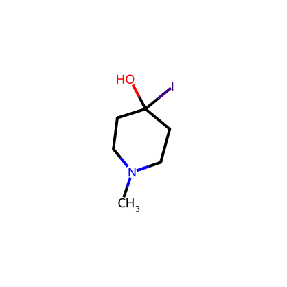 CN1CCC(O)(I)CC1